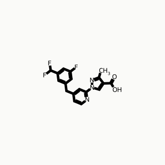 Cc1nn(-c2cc(Cc3cc(F)cc(C(F)F)c3)ccn2)cc1C(=O)O